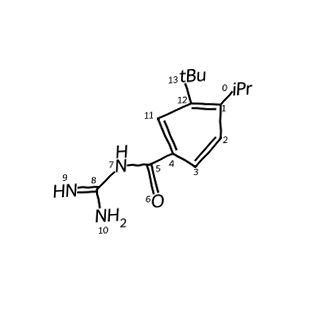 CC(C)c1ccc(C(=O)NC(=N)N)cc1C(C)(C)C